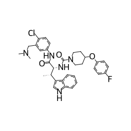 C[C@@H](c1c[nH]c2ccccc12)[C@@H](NC(=O)N1CCC(Oc2ccc(F)cc2)CC1)C(=O)Nc1ccc(Cl)c(CN(C)C)c1